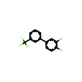 Fc1ccc(-c2[c]ccc(C(F)(F)F)c2)cc1F